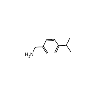 C=C(/C=C\C(=C)C(C)C)CN